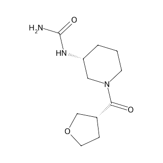 NC(=O)N[C@@H]1CCCN(C(=O)[C@@H]2CCOC2)C1